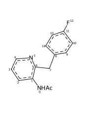 CC(=O)Nc1cccnc1Cc1ccc(F)cc1